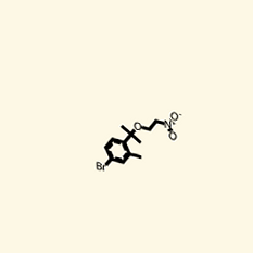 Cc1cc(Br)ccc1C(C)(C)OCC[N+](=O)[O-]